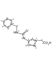 O=C(O)C[n+]1cc([N-]C(=O)NCc2ccccc2)on1